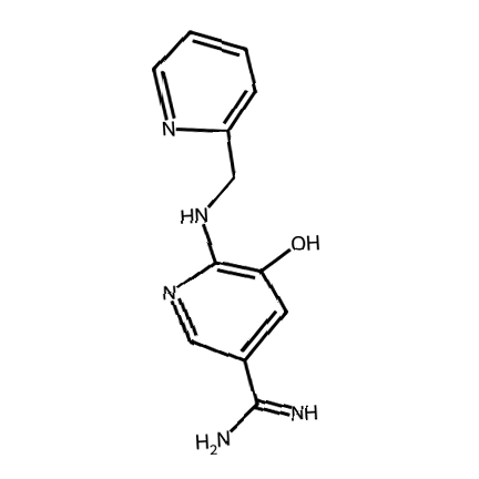 N=C(N)c1cnc(NCc2ccccn2)c(O)c1